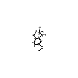 COc1ccc2c(c1)C(C)C(C)(C)CC2